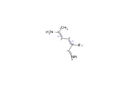 C/C(N)=C\C=C(\F)C=N